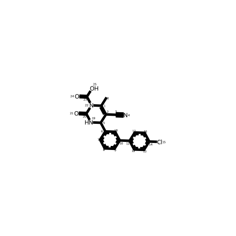 CC1=C(C#N)C(c2cccc(-c3ccc(Cl)cc3)c2)NC(=O)N1C(=O)O